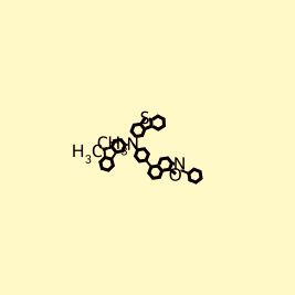 CC1(C)c2ccccc2-c2cc(N(c3ccc(-c4cccc5c4ccc4nc(-c6ccccc6)oc45)cc3)c3ccc4sc5ccccc5c4c3)ccc21